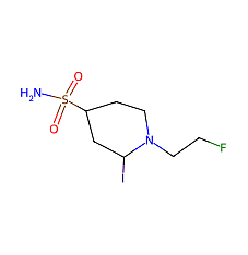 NS(=O)(=O)C1CCN(CCF)C(I)C1